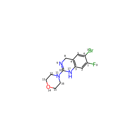 Fc1cc2c(cc1Br)CN=C(N1CCOCC1)N2